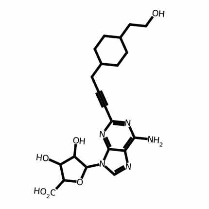 Nc1nc(C#CCC2CCC(CCO)CC2)nc2c1ncn2C1OC(C(=O)O)C(O)C1O